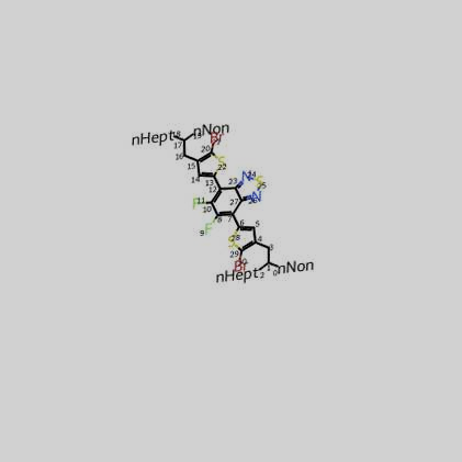 CCCCCCCCCC(CCCCCCC)Cc1cc(-c2c(F)c(F)c(-c3cc(CC(CCCCCCC)CCCCCCCCC)c(Br)s3)c3nsnc23)sc1Br